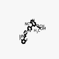 CC(C)(O)COc1cc(-c2ccc(N3CC[C@@]4(C=C(c5c(F)cccc5F)N4)C3)nc2)c2c(C#N)cnn2c1